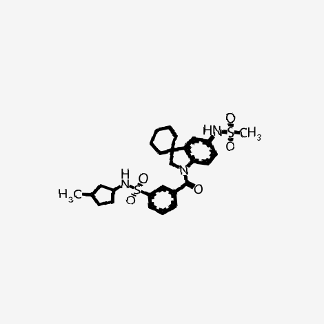 CC1CCC(NS(=O)(=O)c2cccc(C(=O)N3CC4(CCCCC4)c4cc(NS(C)(=O)=O)ccc43)c2)C1